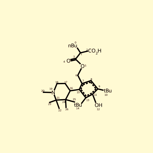 CCCCC(C(=O)O)C(=O)OCc1cc(C(C)(C)C)c(O)c(C(C)(C)C)c1C1CCN(C)C(C)(C)C1(C)C